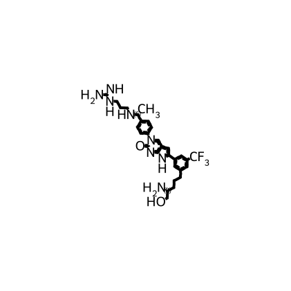 C[C@H](NCCCNC(=N)N)c1ccc(-n2cc3cc(-c4cc(CCC[C@@H](N)CO)cc(C(F)(F)F)c4)[nH]c3nc2=O)cc1